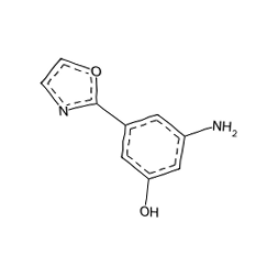 Nc1cc(O)cc(-c2ncco2)c1